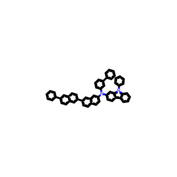 c1ccc(-c2cccc(N(c3ccc4ccc(-c5ccc6cc(-c7ccccc7)ccc6c5)cc4c3)c3ccc4c5ccccc5n(-c5ccccc5)c4c3)c2)cc1